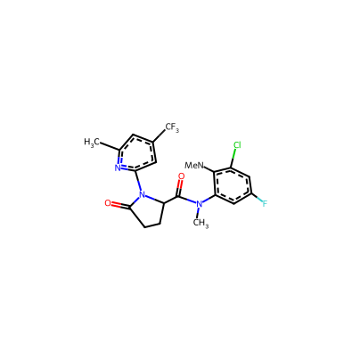 CNc1c(Cl)cc(F)cc1N(C)C(=O)C1CCC(=O)N1c1cc(C(F)(F)F)cc(C)n1